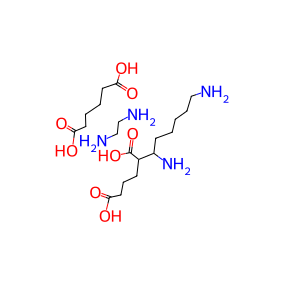 NCCCCCC(N)C(CCCC(=O)O)C(=O)O.NCCN.O=C(O)CCCCC(=O)O